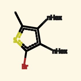 CCCCCCc1c(C)sc(Br)c1CCCCCC